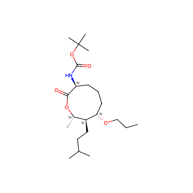 CCCO[C@H]1CCC[C@H](NC(=O)OC(C)(C)C)C(=O)O[C@@H](C)[C@@H]1CCC(C)C